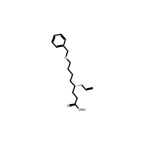 C=CC[C@@H](CCCCOCc1ccccc1)CCC(=O)OC